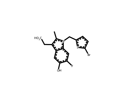 Cc1c(CC(=O)O)c2cc(O)c(F)cc2n1Cc1ccc(Br)s1